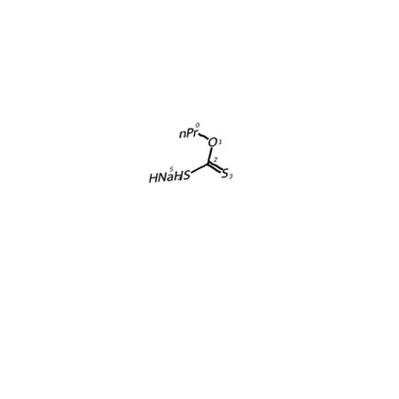 CCCOC(=S)S.[NaH]